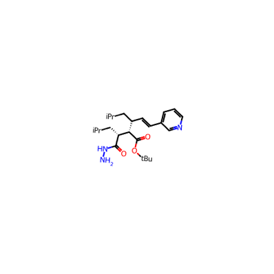 CC(C)CC(/C=C/c1cccnc1)[C@H](C(=O)OC(C)(C)C)[C@@H](CC(C)C)C(=O)NN